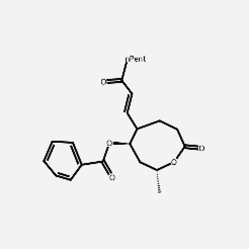 CCCCCC(=O)/C=C/C1CCC(=O)O[C@H](C)C[C@H]1OC(=O)c1ccccc1